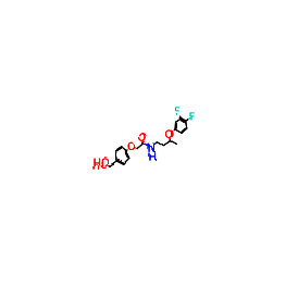 CC(CCNC(=O)COc1ccc(CO)cc1)Oc1ccc(F)c(F)c1